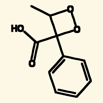 CC1OOC1(C(=O)O)c1ccccc1